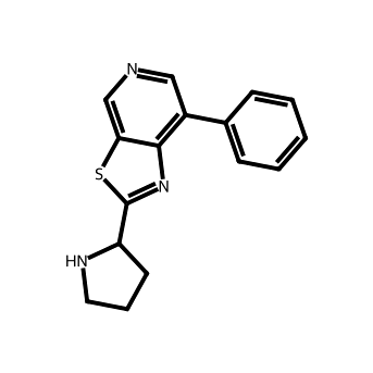 c1ccc(-c2cncc3sc(C4CCCN4)nc23)cc1